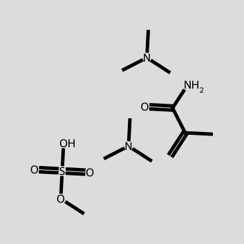 C=C(C)C(N)=O.CN(C)C.CN(C)C.COS(=O)(=O)O